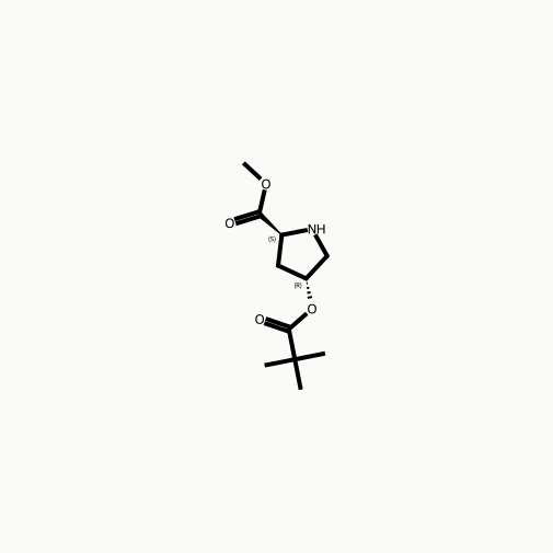 COC(=O)[C@@H]1C[C@@H](OC(=O)C(C)(C)C)CN1